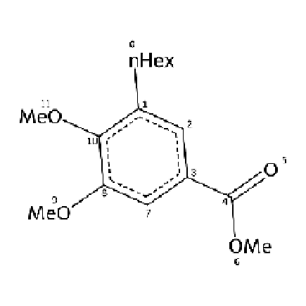 CCCCCCc1cc(C(=O)OC)cc(OC)c1OC